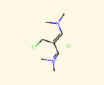 CN(C)C=C(C=[N+](C)C)CCl.[Cl-]